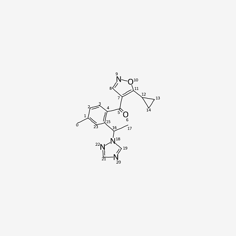 Cc1ccc(C(=O)c2cnoc2C2CC2)c(C(C)n2cncn2)c1